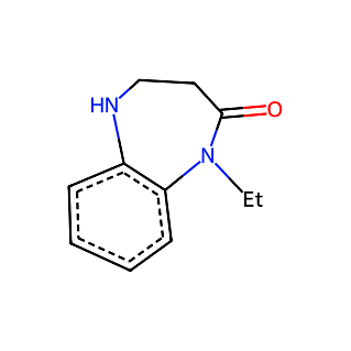 CCN1C(=O)CCNc2ccccc21